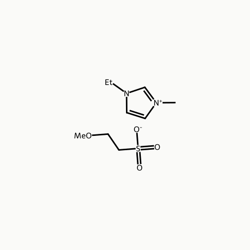 CCn1cc[n+](C)c1.COCCS(=O)(=O)[O-]